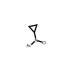 CC(=O)N(Cl)C1CC1